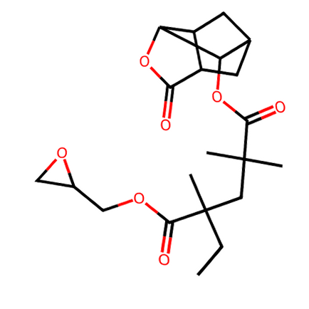 CCC(C)(CC(C)(C)C(=O)OC1C2CC3C(=O)OC1C3C2)C(=O)OCC1CO1